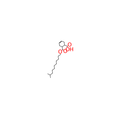 CC(C)CCCCCCCCCOC(=O)C1CC=CCC1C(=O)O